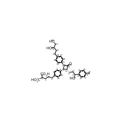 O=C(O)C(CCCc1ccc([C@@H]2[C@@H](CC[C@H](O)c3ccc(F)cc3)C(=O)N2c2ccc(CCC(O)CO)cc2)cc1)C(=O)O